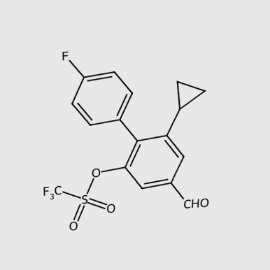 O=Cc1cc(OS(=O)(=O)C(F)(F)F)c(-c2ccc(F)cc2)c(C2CC2)c1